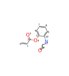 C=CC(=O)Oc1ccccc1N=C=O